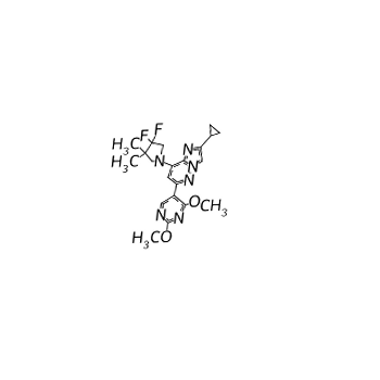 COc1ncc(-c2cc(N3CC(C)(C)C(F)(F)C3)c3nc(C4CC4)cn3n2)c(OC)n1